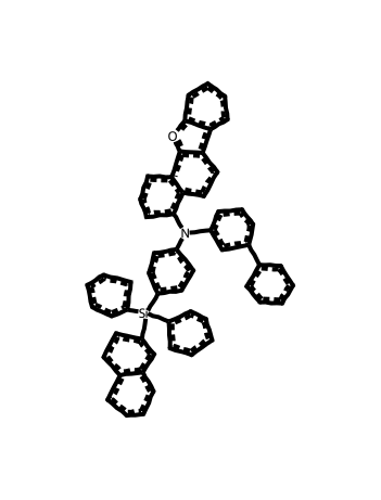 c1ccc(-c2cccc(N(c3ccc([Si](c4ccccc4)(c4ccccc4)c4ccc5ccccc5c4)cc3)c3cccc4c3ccc3c5ccccc5oc43)c2)cc1